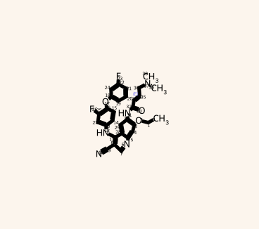 CCOc1cc2ncc(C#N)c(Nc3ccc(Oc4cccc(F)c4)c(F)c3)c2cc1NC(=O)/C=C/CN(C)C